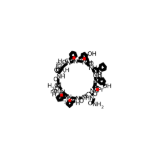 CCCC[C@H]1C(=O)N(C)CC(=O)N[C@@H](CC(=O)O)C(=O)N[C@@H](C(C)C)C(=O)N(C)[C@@H](Cc2ccccc2)C(=O)N[C@@H](Cc2ccc(O)cc2)C(=O)N2CCC[C@H]2C(=O)N[C@@H](Cc2c[nH]c3ccccc23)C(=O)N[C@@H](Cc2ccc(O)cc2)C(=O)N[C@@H](CC(C)C)C(=O)N[C@H](C(=O)NCC(N)=O)CSCC(=O)N[C@@H](Cc2ccccc2)C(=O)N(C)[C@@H](Cc2ccccc2)C(=O)N1C